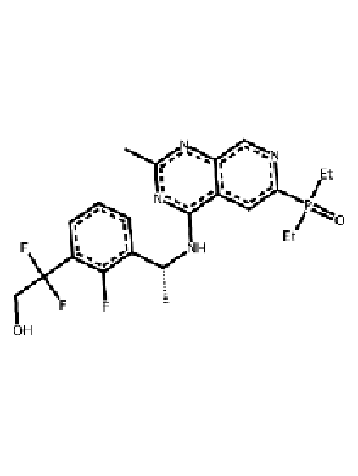 CCP(=O)(CC)c1cc2c(N[C@H](C)c3cccc(C(F)(F)CO)c3F)nc(C)nc2cn1